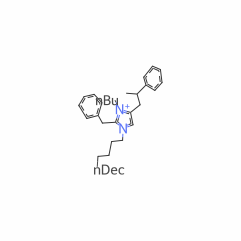 CCCCCCCCCCCCCCn1cc(CC(C)c2ccccc2)[n+](CCCC)c1Cc1ccccc1